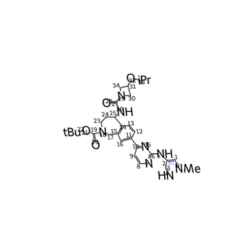 CN/C=C(\C=N)Nc1nccc(-c2ccc3c(c2)CN(C(=O)OC(C)(C)C)CCC3NC(=O)N2CC(OC(C)C)C2)n1